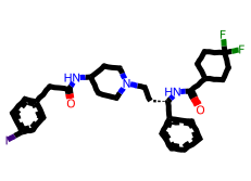 O=C(Cc1ccc(I)cc1)NC1CCN(CC[C@H](NC(=O)C2CCC(F)(F)CC2)c2ccccc2)CC1